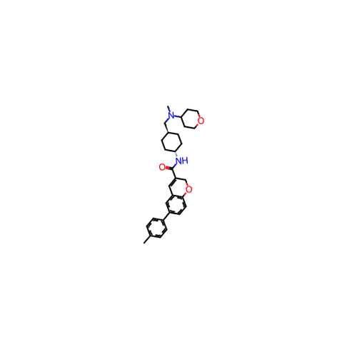 Cc1ccc(-c2ccc3c(c2)C=C(C(=O)N[C@H]2CC[C@H](CN(C)C4CCOCC4)CC2)CO3)cc1